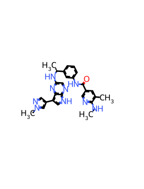 CNc1ncc(C(=O)Nc2cccc([C@H](C)Nc3cnc4[nH]cc(-c5cnn(C)c5)c4n3)c2)cc1C